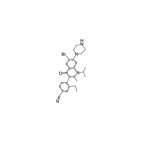 CCc1cc(C#N)ccc1-c1c(C)n(C(C)C)c2cc(N3CCNCC3)c(Br)cc2c1=O